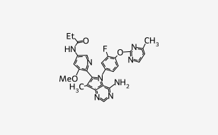 CCC(=O)Nc1cnc(-c2c(C)c3ncnc(N)c3n2-c2ccc(Oc3nccc(C)n3)c(F)c2)c(OC)c1